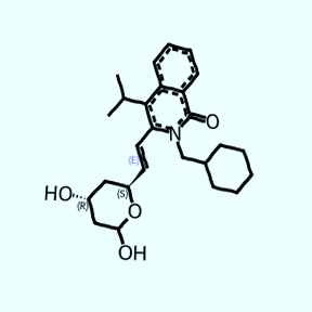 CC(C)c1c(/C=C/[C@@H]2C[C@@H](O)CC(O)O2)n(CC2CCCCC2)c(=O)c2ccccc12